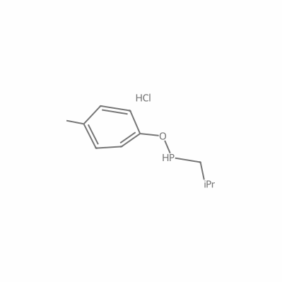 Cc1ccc(OPCC(C)C)cc1.Cl